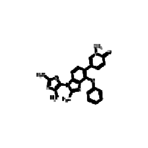 Cc1nc(C)c(-n2c(C)nc3c(Oc4ccccc4)c(-c4ccc(=O)n(C)c4)ccc32)o1